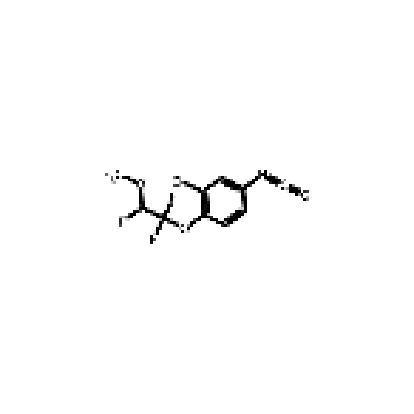 O=C=Nc1ccc(OC(F)(F)C(F)OC(F)(F)F)c(Cl)c1